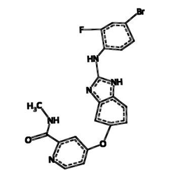 CNC(=O)c1cc(Oc2ccc3[nH]c(Nc4ccc(Br)cc4F)nc3c2)ccn1